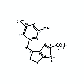 O=C(O)c1cc2c([nH]1)CCC2Cc1cc(F)cc(Cl)c1